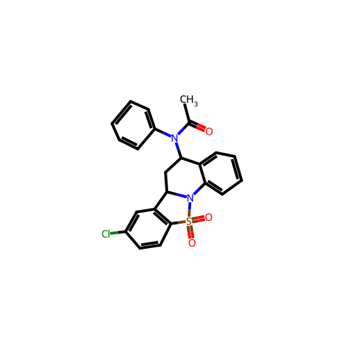 CC(=O)N(c1ccccc1)C1CC2c3cc(Cl)ccc3S(=O)(=O)N2c2ccccc21